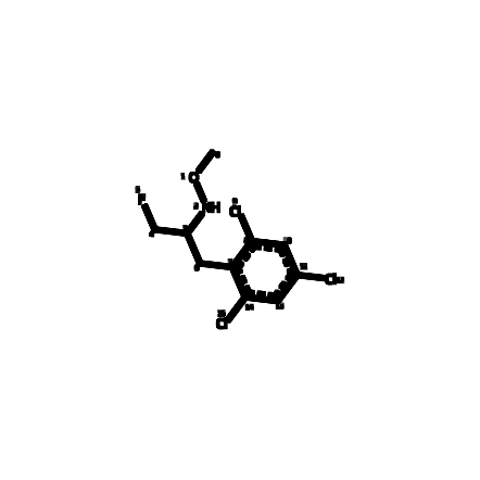 CONC(CF)Cc1c(Cl)cc(Cl)cc1Cl